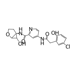 O=C(Cc1cc(Cl)ccc1O)Nc1ccnc(C(=O)N[C@]23CCOC2C3O)c1